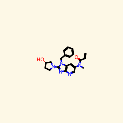 C=CC(=O)N(C)c1cnc2nc(N3CC[C@H](O)C3)n(Cc3ccccc3)c2c1